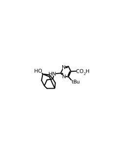 CC(C)(C)c1nc(NC23CC4CC(CC(O)(C4)C2)C3)ncc1C(=O)O